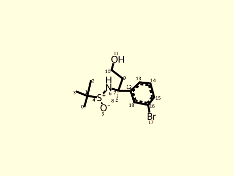 CC(C)(C)[S@@+]([O-])N[C@@](C)(CCO)c1cccc(Br)c1